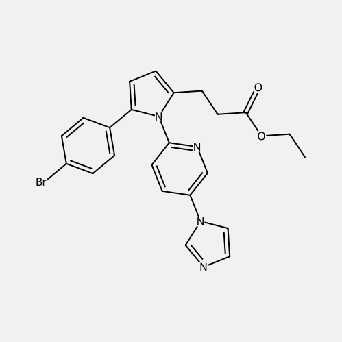 CCOC(=O)CCc1ccc(-c2ccc(Br)cc2)n1-c1ccc(-n2ccnc2)cn1